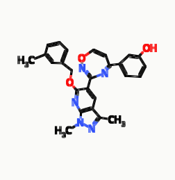 Cc1cccc(COc2nc3c(cc2C2=NOC=CC(c4cccc(O)c4)=N2)c(C)nn3C)c1